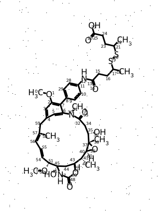 COc1cc2cc(c1-c1ccc(NC(=O)CCC(C)SSC(C)CCC(=O)O)cc1)N(C)C(=O)C[C@H](O)[C@]1(C)O[C@H]1[C@H](C)[C@@H]1C[C@@](O)(NC(=O)O1)[C@H](OC)/C=C/C=C(\C)C2